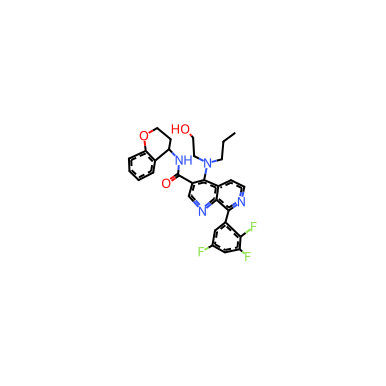 CCCN(CCO)c1c(C(=O)NC2CCOc3ccccc32)cnc2c(-c3cc(F)cc(F)c3F)nccc12